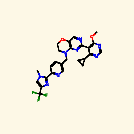 COc1ncnc(C2CC2)c1-c1ncc2c(n1)N(Cc1ccc(-c3nc(C(F)(F)F)cn3C)nc1)CCO2